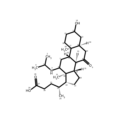 CC(C)NC1C[C@H]2[C@@H](C(=O)C[C@@H]3CC(O)CC[C@@]32C)[C@@H]2CC[C@H]([C@H](C)CCC(=O)O)[C@@]12C